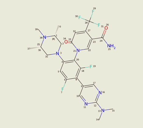 C[C@@H]1CN(c2cc(F)c(-c3cnc(N(C)C)nc3)c(F)c2-n2cc(C(N)=O)c(C(F)(F)F)cc2=O)C[C@H](C)N1C